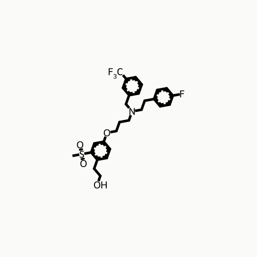 CS(=O)(=O)c1cc(OCCCN(CCc2ccc(F)cc2)Cc2cccc(C(F)(F)F)c2)ccc1CCO